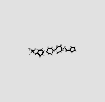 FC(F)(F)Oc1ccc([C@H]2CC[C@H]([C@H]3CC[C@H](CCC4CCCC4)CC3)CC2)cc1